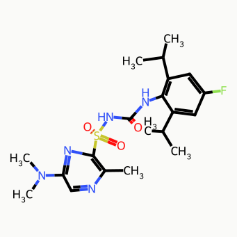 Cc1ncc(N(C)C)nc1S(=O)(=O)NC(=O)Nc1c(C(C)C)cc(F)cc1C(C)C